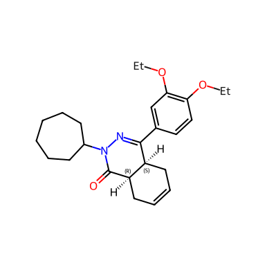 CCOc1ccc(C2=NN(C3CCCCCC3)C(=O)[C@@H]3CC=CC[C@H]23)cc1OCC